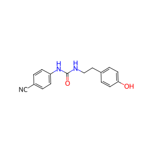 N#Cc1ccc(NC(=O)NCCc2ccc(O)cc2)cc1